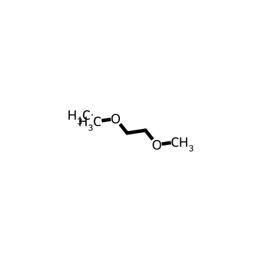 COCCOC.[CH3]